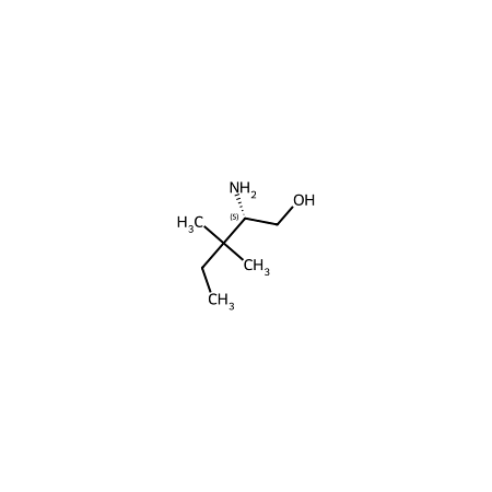 CCC(C)(C)[C@H](N)CO